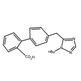 CCCCn1ncnc1Cc1ccc(-c2ccccc2C(=O)O)cc1